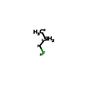 C[SiH2]CF